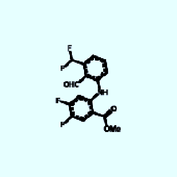 COC(=O)c1cc(F)c(F)cc1Nc1cccc(C(F)F)c1C=O